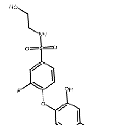 CCc1ccc(Oc2ccc(S(=O)(=O)NCCO)cc2F)c(O)c1